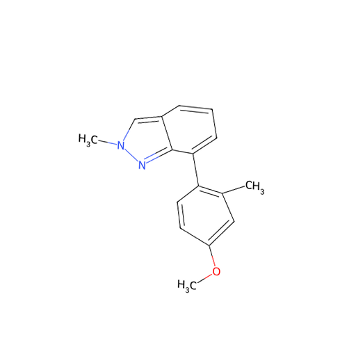 COc1ccc(-c2cccc3cn(C)nc23)c(C)c1